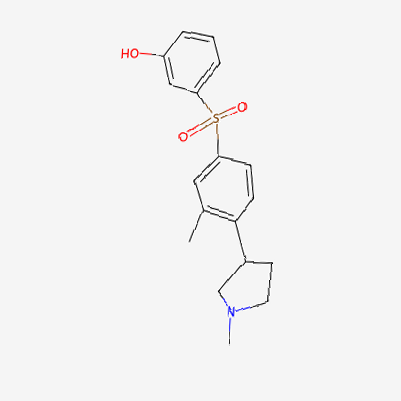 Cc1cc(S(=O)(=O)c2cccc(O)c2)ccc1C1CCN(C)C1